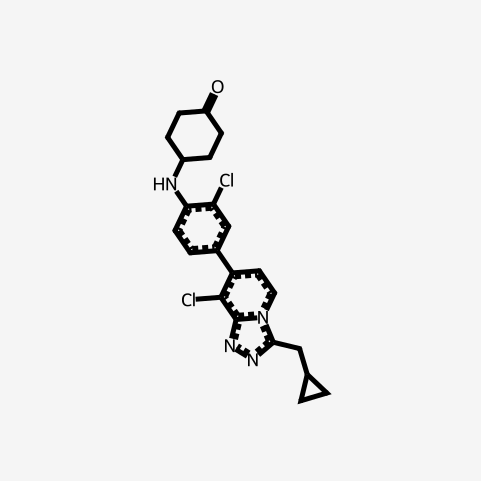 O=C1CCC(Nc2ccc(-c3ccn4c(CC5CC5)nnc4c3Cl)cc2Cl)CC1